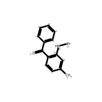 Cc1ccc(C(=O)c2ccccc2)c(NC(C)C)c1